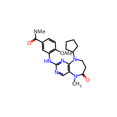 CNC(=O)c1ccc(OC)c(Nc2ncc3c(n2)N(C2CCCC2)CCC(=O)N3C)c1